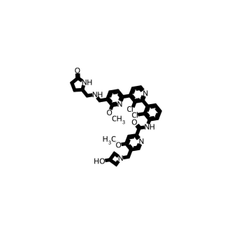 COc1cc(C(=O)Nc2cccc(-c3nccc(-c4ccc(CNCC5CCC(=O)N5)c(OC)n4)c3Cl)c2Cl)ncc1CN1CC(O)C1